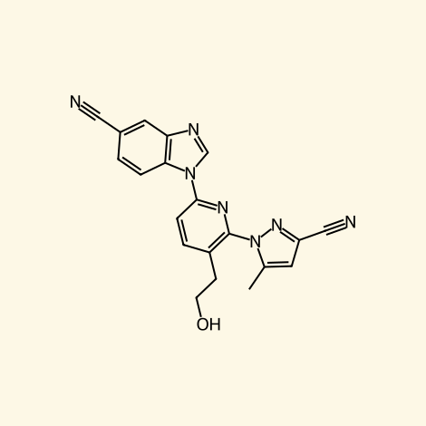 Cc1cc(C#N)nn1-c1nc(-n2cnc3cc(C#N)ccc32)ccc1CCO